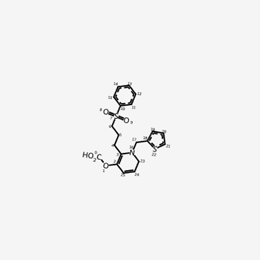 O=C(O)OC1=C(CCCS(=O)(=O)c2ccccc2)N(Cc2cccs2)CC=C1